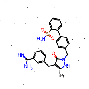 CC(C)c1[nH]n(Cc2ccc(-c3ccccc3S(N)(=O)=O)cc2)c(=O)c1Cc1cccc(C(=N)N)c1